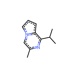 Cc1cn2cccc2c(C(C)C)n1